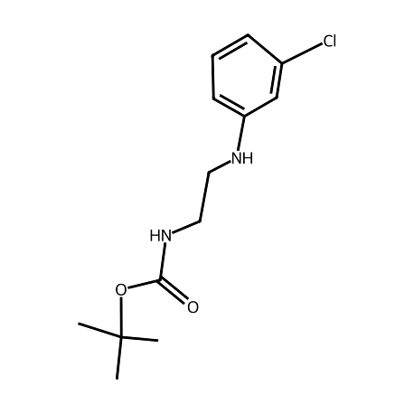 CC(C)(C)OC(=O)NCCNc1cccc(Cl)c1